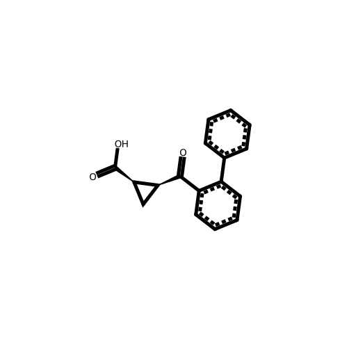 O=C(c1ccccc1-c1ccccc1)[C@H]1C[C@H]1C(=O)O